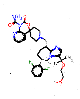 CC(C)(OCCO)c1cnc2n1C[C@H](c1c(F)cccc1F)CC[C@@H]2CN1CCC2(CC1)OC(=O)N(C(N)=O)c1ncccc12